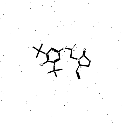 C=C[C@@H]1CCC(=O)N1C[C@@H](C)Sc1cc(C(C)(C)C)c(O)c(C(C)(C)C)c1